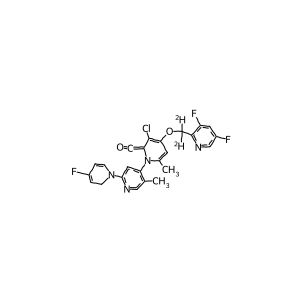 [2H]C([2H])(OC1=C(Cl)C(=C=O)N(c2cc(N3C=CC(F)=CC3)ncc2C)C(C)=C1)c1ncc(F)cc1F